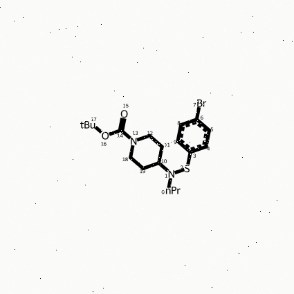 CCCN(Sc1ccc(Br)cc1)C1CCN(C(=O)OC(C)(C)C)CC1